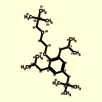 CN(C)Cc1cc(C[N+](C)(C)C)cc(CN(C)C)c1OCCOC[N+](C)(C)C